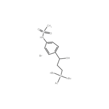 CCCC[N+](CCCC)(CCC(O)c1ccc(NS(C)(=O)=O)cc1)C(C)=O.[Br-]